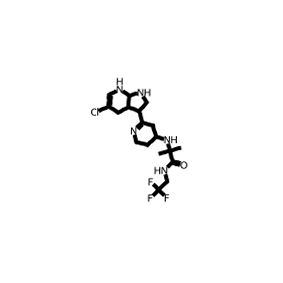 CC(C)(NC1CCN=C(C2CNC3NC=C(Cl)CC32)C1)C(=O)NCC(F)(F)F